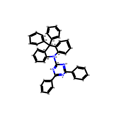 c1ccc(-c2nc(-c3ccccc3)nc(N3c4ccccc4C(c4ccccc4)(c4ccccc4)c4ccccc43)n2)cc1